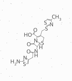 Cc1csc(SCC2=C(C(=O)O)N3C(=O)C(NC(=O)Cc4csc(N)n4)[C@H]3SC2)n1